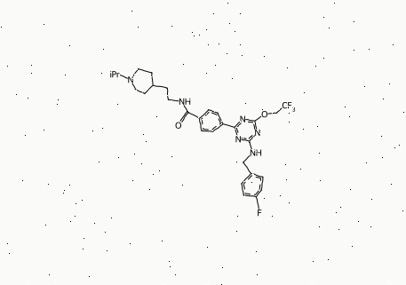 CC(C)N1CCC(CCNC(=O)c2ccc(-c3nc(NCc4ccc(F)cc4)nc(OCC(F)(F)F)n3)cc2)CC1